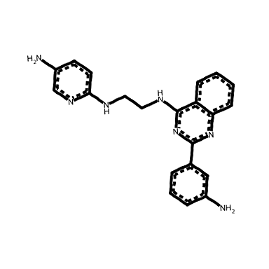 Nc1ccc(NCCNc2nc(-c3cccc(N)c3)nc3ccccc23)nc1